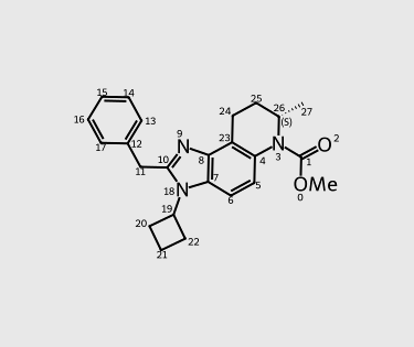 COC(=O)N1c2ccc3c(nc(Cc4ccccc4)n3C3CCC3)c2CC[C@@H]1C